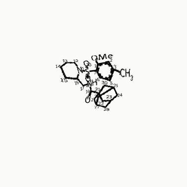 COc1cc(C)ccc1S(=O)(=O)N1CCCCC1CNC(=O)C12CC3CC(CC(C3)C1)C2